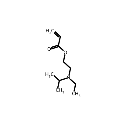 C=CC(=O)OCCN(CC)C(C)C